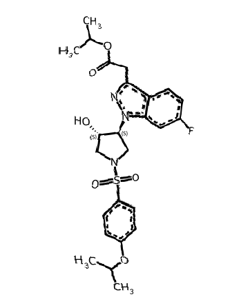 CC(C)OC(=O)Cc1nn([C@H]2CN(S(=O)(=O)c3ccc(OC(C)C)cc3)C[C@@H]2O)c2cc(F)ccc12